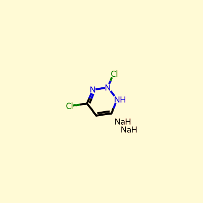 ClC1=NN(Cl)NC=C1.[NaH].[NaH]